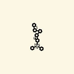 c1ccc(-c2nc(-c3ccccc3)nc(-c3ccc4c(c3)oc3ccc(-c5ccccc5-c5cccc6c5sc5ccccc56)cc34)n2)cc1